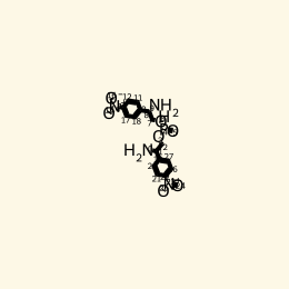 NC(CO[PH](=O)OCC(N)c1ccc([N+](=O)[O-])cc1)c1ccc([N+](=O)[O-])cc1